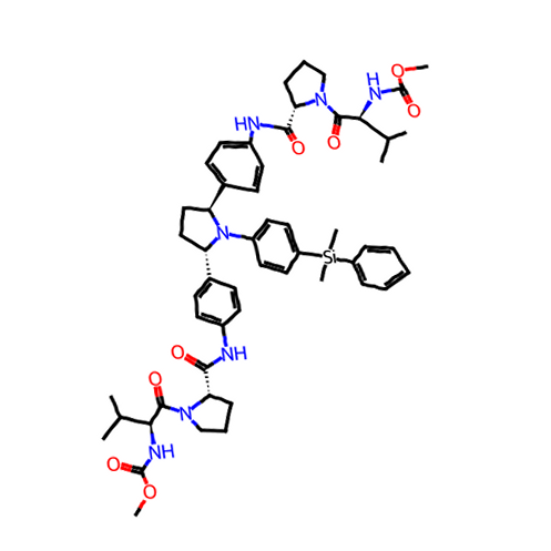 COC(=O)N[C@H](C(=O)N1CCC[C@H]1C(=O)Nc1ccc([C@@H]2CC[C@@H](c3ccc(NC(=O)[C@@H]4CCCN4C(=O)[C@@H](NC(=O)OC)C(C)C)cc3)N2c2ccc([Si](C)(C)c3ccccc3)cc2)cc1)C(C)C